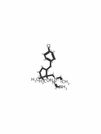 C=CN(CC1(O)C(Cc2ccc(Cl)cc2)CCC1(C)C)/N=C\N